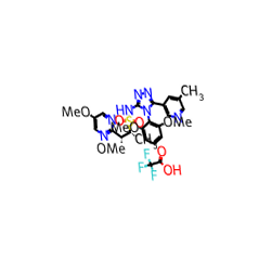 COc1cnc([C@@H](OC)[C@@H](C)S(=O)(=O)Nc2nnc(-c3cncc(C)c3)n2-c2c(OC)cccc2OC)nc1.O=C(O)C(F)(F)F